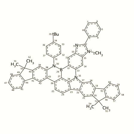 Cn1c(-c2ccccc2)nc2cc3c(cc21)-n1c2cc4c(cc2c2ccc5c(c21)B3N(c1ccc(C(C)(C)C)cc1)c1cc2c(cc1-5)-c1ccccc1C2(C)C)C(C)(C)c1ccccc1-4